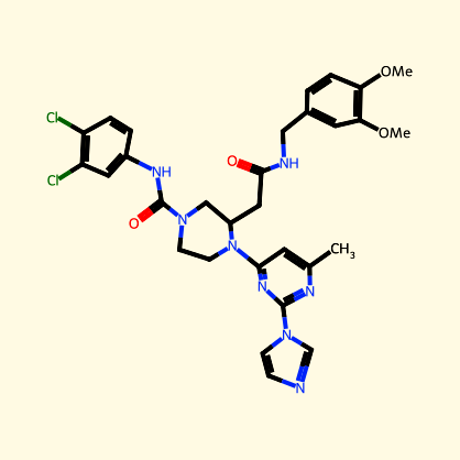 COc1ccc(CNC(=O)CC2CN(C(=O)Nc3ccc(Cl)c(Cl)c3)CCN2c2cc(C)nc(-n3ccnc3)n2)cc1OC